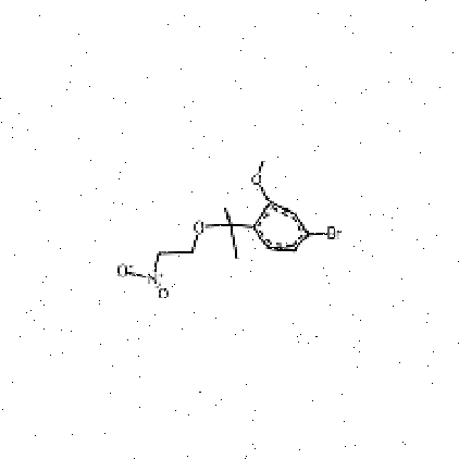 COc1cc(Br)ccc1C(C)(C)OCC[N+](=O)[O-]